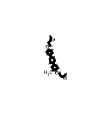 Cc1cc(C2=CCC(c3ccc(OCCC4CO4)cc3)CC2)ccc1OCCC1CO1